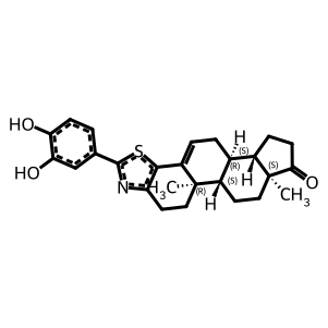 C[C@]12CCc3nc(-c4ccc(O)c(O)c4)sc3C1=CC[C@@H]1[C@@H]2CC[C@]2(C)C(=O)CC[C@@H]12